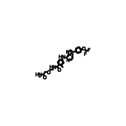 CNC(=O)COCCNC(=O)c1ccc(Nc2nccn3c(-c4ccc(OC(F)F)cc4)cnc23)cc1C